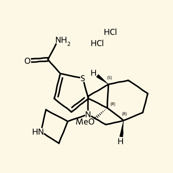 CO[C@@]1(c2ccc(C(N)=O)s2)[C@@H]2CCC[C@H]1CN(C1CNC1)C2.Cl.Cl